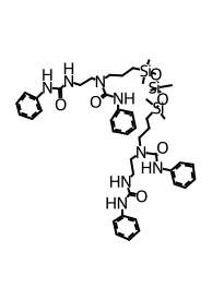 C[Si](C)(CCCN(CCNC(=O)Nc1ccccc1)C(=O)Nc1ccccc1)O[Si](C)(C)O[Si](C)(C)CCCN(CCNC(=O)Nc1ccccc1)C(=O)Nc1ccccc1